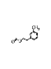 Cc1cccc(CCO[C]=O)c1